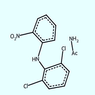 CC(N)=O.O=[N+]([O-])c1ccccc1Nc1c(Cl)cccc1Cl